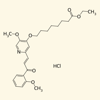 CCOC(=O)CCCCCCCOc1cc(C=CC(=O)c2ccccc2OC)ncc1OC.Cl